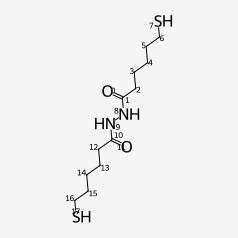 O=C(CCCCCS)NNC(=O)CCCCCS